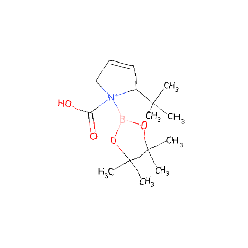 CC(C)(C)C1C=CC[N+]1(B1OC(C)(C)C(C)(C)O1)C(=O)O